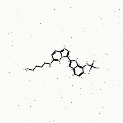 CCCCCNc1ccc2ncc(-c3cc4cccc(OC(F)(F)F)c4s3)n2n1